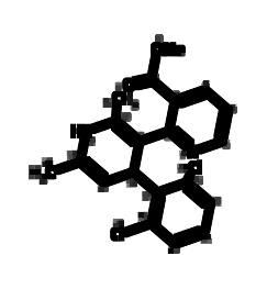 COC(=O)c1cccnc1C1=C(C)NC(C)=CC1c1c(Cl)cccc1Cl